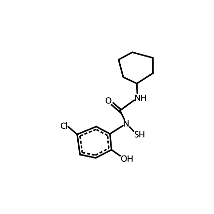 O=C(NC1CCCCC1)N(S)c1cc(Cl)ccc1O